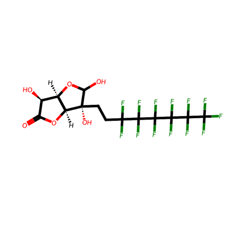 O=C1O[C@H]2[C@H](OC(O)[C@@]2(O)CCC(F)(F)C(F)(F)C(F)(F)C(F)(F)C(F)(F)C(F)(F)F)[C@@H]1O